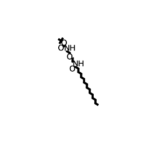 CCCCCCCCCCCCCCCC(=O)NCCOCCNC(=O)OC(C)(C)C